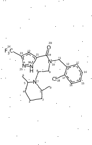 CC1CCCC(C)N1CCN(Cc1ccccc1Cl)C(=O)c1cc(C(F)(F)F)n[nH]1